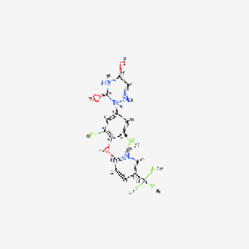 O=c1cnn(-c2cc(F)c(Oc3ccc(C(F)(F)F)cn3)c(F)c2)c(=O)[nH]1